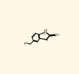 CC(C)Cc1ccc2c(c1)CC(=O)N2